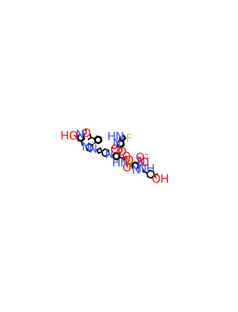 COc1cc(CN2CCN(C3CC4(CCN(c5ccc(C(=O)NS(=O)(=O)c6cnc(NCC7CCC(C)(O)CC7)c([N+](=O)[O-])c6)c(Oc6cc7c(F)c[nH]c7nc6OC)c5)CC4)C3)[C@H](c3ccccc3C(C)C)C2)cc(O)n1